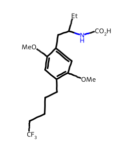 CCC(Cc1cc(OC)c(CCCCC(F)(F)F)cc1OC)NC(=O)O